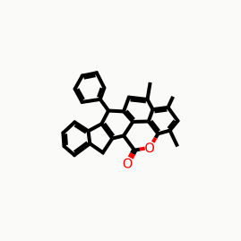 Cc1cc(C)c2c(C)cc3c4c2c1OC(=O)C4C1=C(c2ccccc2C1)C3c1ccccc1